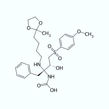 COc1ccc(S(=O)(=O)C[C@H](O)[C@@](Cc2ccccc2)(NCCCCC2(C)OCCO2)NC(=O)O)cc1